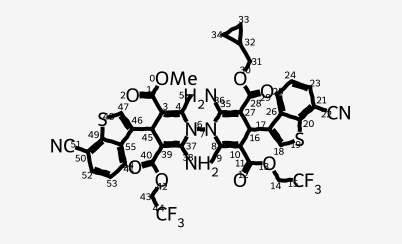 COC(=O)C1=C(C)N(N2C(C)=C(C(=O)OCC(F)(F)F)C(c3csc4c(C#N)cccc34)C(C(=O)OCC3CC3)=C2N)C(N)=C(C(=O)OCC(F)(F)F)C1c1csc2c(C#N)cccc12